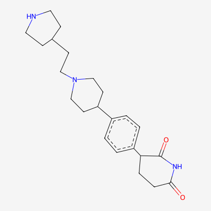 O=C1CCC(c2ccc(C3CCN(CCC4CCNCC4)CC3)cc2)C(=O)N1